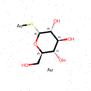 OC[C@H]1O[C@H]([S][Au])[C@H](O)[C@@H](O)[C@@H]1O.[Au]